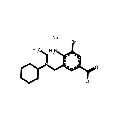 CCN(Cc1cc(C(=O)[O-])cc(Br)c1N)C1CCCCC1.[Na+]